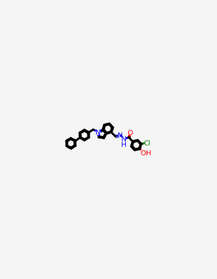 O=C(N/N=C/c1cccc2c1ccn2Cc1ccc(-c2ccccc2)cc1)c1ccc(O)c(Cl)c1